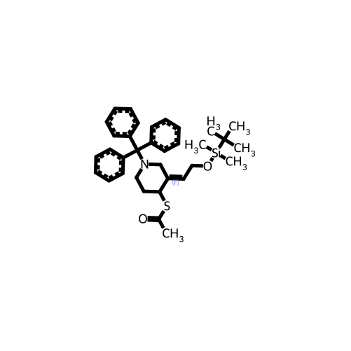 CC(=O)SC1CCN(C(c2ccccc2)(c2ccccc2)c2ccccc2)C/C1=C\CO[Si](C)(C)C(C)(C)C